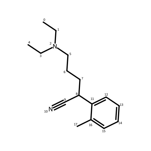 CCN(CC)CCCC(C#N)c1ccccc1C